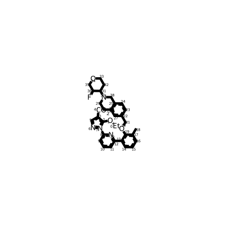 CCOc1c(C(=O)O)cnn1-c1cccc(-c2cccc(C)c2OCc2ccc3c(c2)CCN(C2CCOCC2F)C3)n1